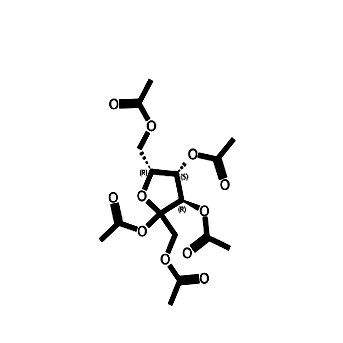 CC(=O)OC[C@H]1OC(COC(C)=O)(OC(C)=O)[C@H](OC(C)=O)[C@H]1OC(C)=O